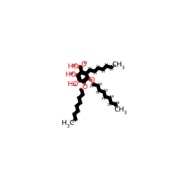 CCCCCCCCCOc1c(O)c(O)c(C(=O)O)c(CCCCCCC)c1OCCCCCCCCC